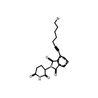 O=C1CCC(N2C(=O)c3cccc(C#CCCCCCBr)c3C2=O)C(=O)N1